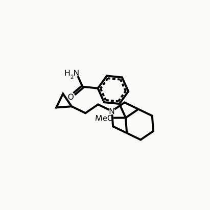 COC1(c2cccc(C(N)=O)c2)C2CCCC1CN(CCC1CC1)C2